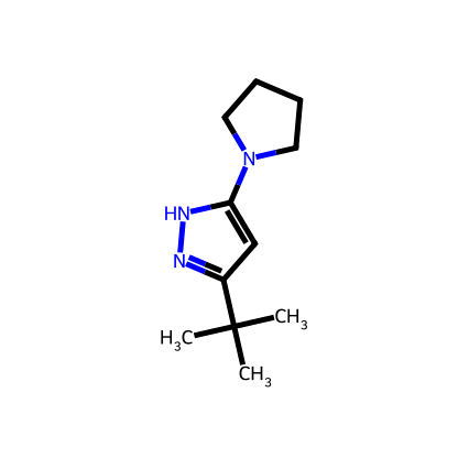 CC(C)(C)c1cc(N2CCCC2)[nH]n1